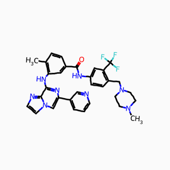 Cc1ccc(C(=O)Nc2ccc(CN3CCN(C)CC3)c(C(F)(F)F)c2)cc1Nc1nc(-c2cccnc2)cn2ccnc12